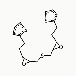 c1csc(CCC2OC2CSCC2OC2CCc2cccs2)c1